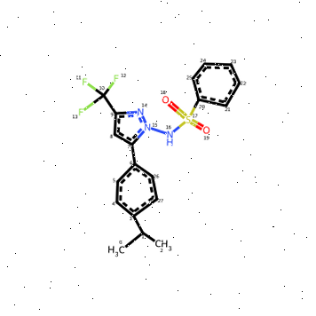 CC(C)c1ccc(-c2cc(C(F)(F)F)nn2NS(=O)(=O)c2ccccc2)cc1